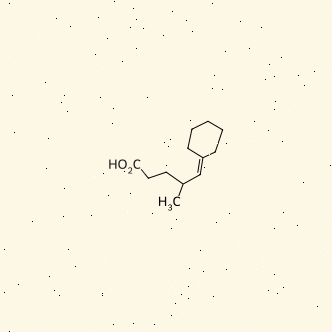 CC(C=C1CCCCC1)CCC(=O)O